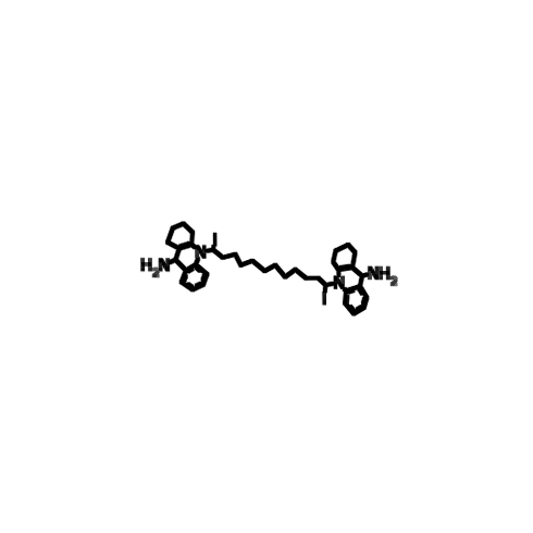 NC1C2=C(CCCC2)N(C(I)CCCCCCCCCCC(I)N2C3=C(CCCC3)C(N)c3ccccc32)c2ccccc21